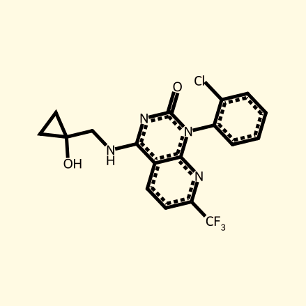 O=c1nc(NCC2(O)CC2)c2ccc(C(F)(F)F)nc2n1-c1ccccc1Cl